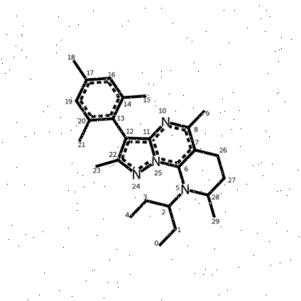 CCC(CC)N1c2c(c(C)nc3c(-c4c(C)cc(C)cc4C)c(C)nn23)CCC1C